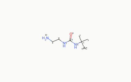 CC(=O)C(C)(C)NC(=O)NCCN